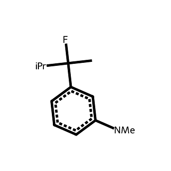 CNc1cccc(C(C)(F)C(C)C)c1